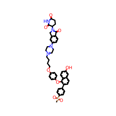 CS(=O)(=O)c1ccc(-c2ccc3cc(O)ccc3c2Oc2ccc(OCCCCN3CCN(c4ccc5c(c4)CN(C4CCC(=O)NC4=O)C5=O)CC3)cc2)cc1